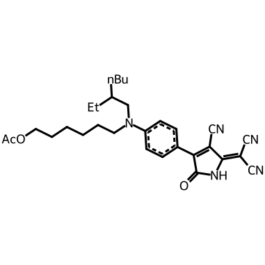 CCCCC(CC)CN(CCCCCCOC(C)=O)c1ccc(C2=C(C#N)C(=C(C#N)C#N)NC2=O)cc1